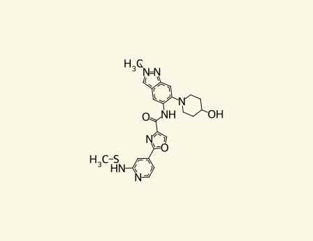 CSNc1cc(-c2nc(C(=O)Nc3cc4cn(C)nc4cc3N3CCC(O)CC3)co2)ccn1